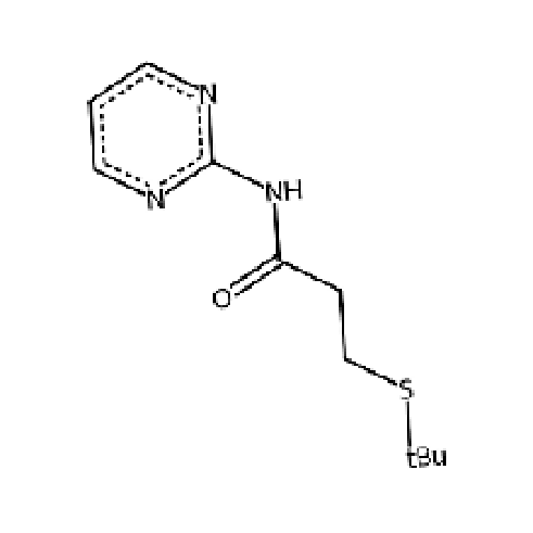 CC(C)(C)SCCC(=O)Nc1ncccn1